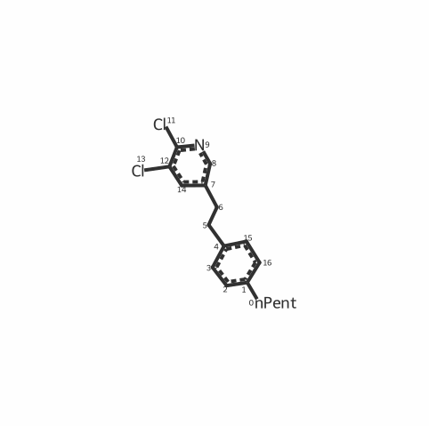 CCCCCc1ccc(CCc2cnc(Cl)c(Cl)c2)cc1